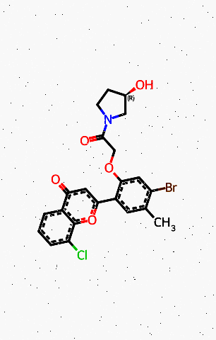 Cc1cc(-c2cc(=O)c3cccc(Cl)c3o2)c(OCC(=O)N2CC[C@@H](O)C2)cc1Br